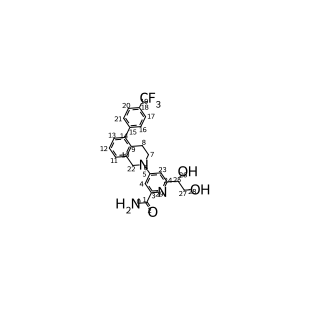 NC(=O)c1cc(N2CCc3c(cccc3-c3ccc(C(F)(F)F)cc3)C2)cc([C@H](O)CO)n1